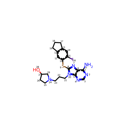 Nc1ncnc2c1nc(Sc1cc3c(cc1I)CCC3)n2CCCN1CCC(O)C1